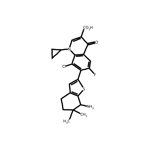 CC1(C)CCc2cc(-c3c(F)cc4c(=O)c(C(=O)O)cn(C5CC5)c4c3Cl)sc2C1N